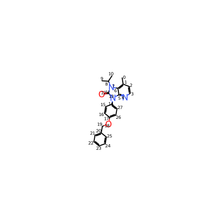 Cc1ccnc2c1n(C(C)C)c(=O)n2-c1ccc(OCc2ccccc2)cc1